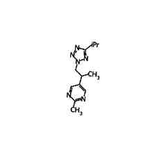 Cc1ncc(C(C)Cn2nnc(C(C)C)n2)cn1